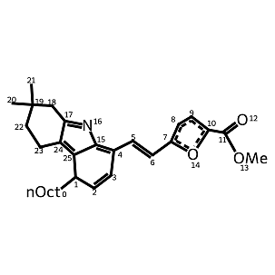 CCCCCCCCC1C=CC(C=Cc2ccc(C(=O)OC)o2)=C2N=C3CC(C)(C)CCC3=C21